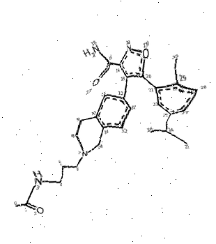 CC(=O)NCCCN1CCc2cc(-c3c(C(N)=O)noc3-c3cc(C(C)C)ccc3C)ccc2C1